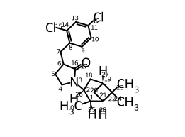 C[C@@H]1[C@H](N2CCC(Cc3ccc(Cl)cc3Cl)C2=O)C[C@H]2C[C@H]1C2(C)C